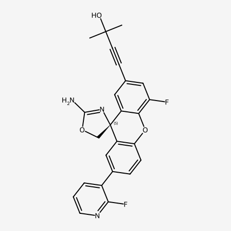 CC(C)(O)C#Cc1cc(F)c2c(c1)[C@]1(COC(N)=N1)c1cc(-c3cccnc3F)ccc1O2